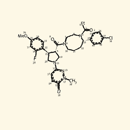 CCC(=O)N1CCN(C(=O)[C@@H]2CN(c3ccc(=O)n(C)n3)C[C@H]2c2ccc(OC)cc2F)CCC[C@H]1c1ccc(Cl)cc1